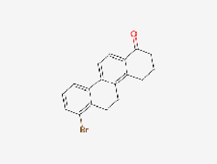 O=C1CCCc2c1ccc1c2CCc2c(Br)cccc2-1